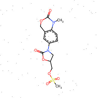 CN1C(=O)OCc2cc(N3CC(COS(C)(=O)=O)OC3=O)ccc21